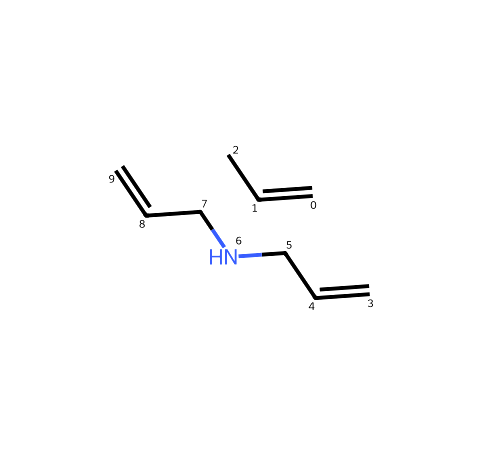 C=CC.C=CCNCC=C